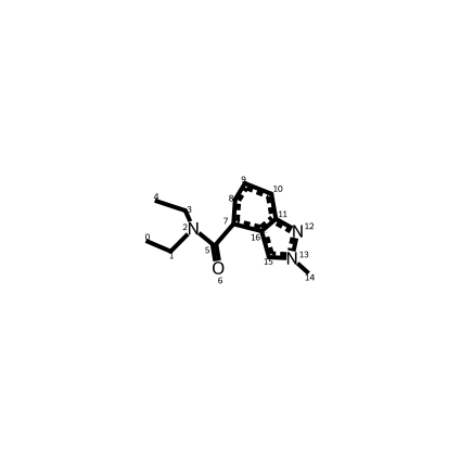 CCN(CC)C(=O)c1cccc2nn(C)cc12